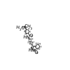 CN(C)c1ccc(C(=O)NC2CC3(C2)CC(c2n[nH]c(=O)c4ccccc24)C3)cc1